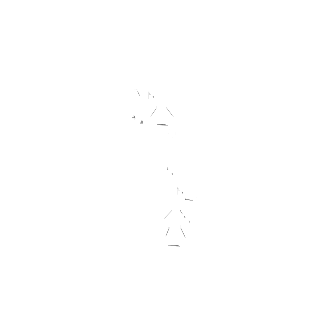 O=C1CS(=O)(=O)c2cc(OCCCN3CCN(C(=O)c4ccc5ccccc5n4)CC3)ccc2N1